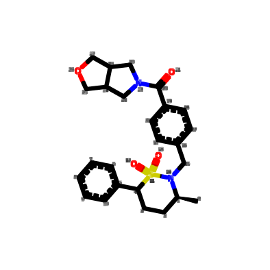 C[C@H]1CCC(c2ccccc2)S(=O)(=O)N1Cc1ccc(C(=O)N2CC3COCC3C2)cc1